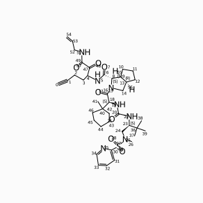 C#CCCC(NC(=O)[C@@H]1[C@H]2CCC[C@H]2CN1C(=O)[C@@H](NC(=O)N[C@H](CN(C)S(=O)(=O)c1ccccn1)C(C)(C)C)C1(C)CCCCC1)C(=O)C(=O)NCC=C